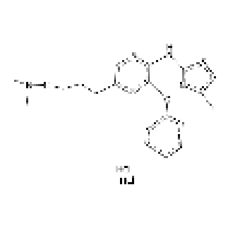 Cc1csc(Nc2ncc(CCCCN(C)C)cc2Oc2ccccc2)n1.Cl.Cl